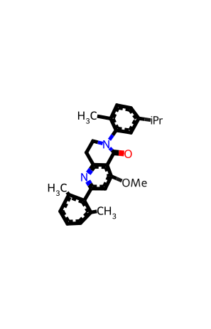 COc1cc(-c2c(C)cccc2C)nc2c1C(=O)N(c1cc(C(C)C)ccc1C)CC2